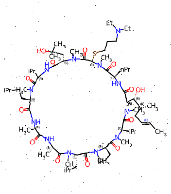 C/C=C/C[C@@H](C)[C@@H](O)[C@H]1C(=O)N[C@H](CCC)C(=O)N(C)[C@H](SCCCN(CC)CC)C(=O)N(C)[C@@H](CC(C)(C)O)C(=O)N[C@H](C(C)C)C(=O)N(C)[C@H](CCC(C)C)C(=O)N[C@H](C)C(=O)N[C@@H](C)C(=O)N(C)[C@@H](CC(C)C)C(=O)N(C)[C@H](CC(C)C)C(=O)N(C)[C@H](C(C)C)C(=O)N1C